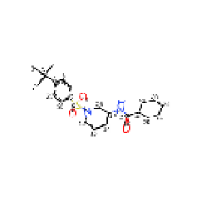 CC(C)(C)c1ccc(S(=O)(=O)N2CCCC(NC(=O)C3CCCCC3)C2)cc1